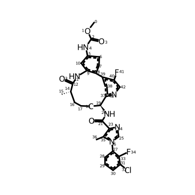 COC(=O)Nc1ccc2c(c1)NC(=O)[C@@H](C)CCC[C@H](NC(=O)c1ncn(-c3cccc(Cl)c3F)c1C)c1cc-2c(F)cn1